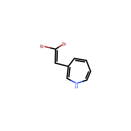 BrC(Br)=CC1=CNC=CC=C1